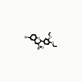 CCOc1ccc(C2Oc3ccc(Br)cc3C=C2[N+](=O)[O-])cc1OCC